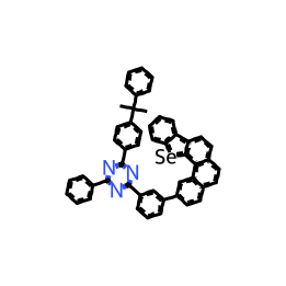 CC(C)(c1ccccc1)c1ccc(-c2nc(-c3ccccc3)nc(-c3cccc(-c4ccc5ccc6ccc7c8ccccc8[se]c7c6c5c4)c3)n2)cc1